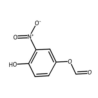 O=COc1ccc(O)c([N+](=O)[O-])c1